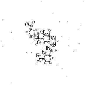 COC1(c2cc3c(N[C@H](C)c4cccc(C(F)F)c4F)ncnc3n(C)c2=O)CC2(CCC(C(C)=O)C2)C1